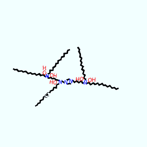 CCCCCCCCCCCCCCC(O)CN(CCCCCCN(CC(O)CCCCCCCCCCCCCC)CC(O)CCCCCCCCCCCCCC)CCN1CCN(CCCCCCN(CC(O)CCCCCCCCCCCCCC)CC(O)CCCCCCCCCCCCCC)CC1